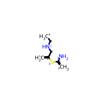 C=C(N)SC(=C)CNCC